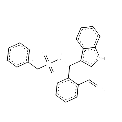 C=Cc1ccccc1[C@H](NS(=O)(=O)Cc1ccccc1)c1c[nH]c2ccccc12